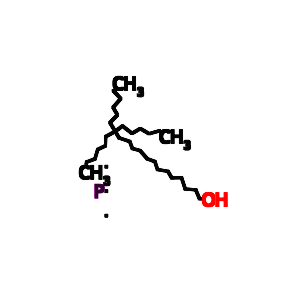 CCCCCCC(CCCCCC)(CCCCCC)CCCCCCCCCCCCCO.[P]